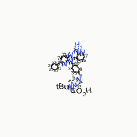 CC(C)(C)N(C(=O)O)N1CCN(Cc2ccc(-n3c(-c4cccnc4N)nc4ccc(-c5ccccc5)nc43)cc2)CC1